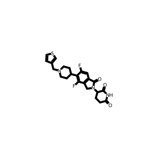 O=C1CCC(N2Cc3c(cc(F)c(C4CCN(Cc5ccsc5)CC4)c3F)C2=O)C(=O)N1